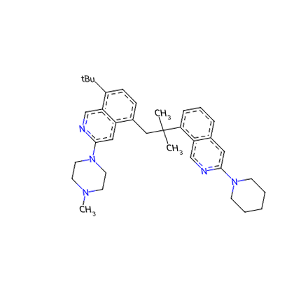 CN1CCN(c2cc3c(CC(C)(C)c4cccc5cc(N6CCCCC6)ncc45)ccc(C(C)(C)C)c3cn2)CC1